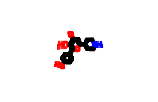 O=c1cc(C2CCNCC2)oc(-c2ccc(O)cc2)c1O